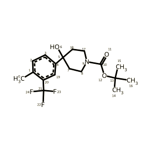 Cc1ccc(C2(O)CCN(C(=O)OC(C)(C)C)CC2)cc1C(F)(F)F